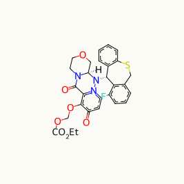 CCOC(=O)OCOc1c2n(ccc1=O)N([C@@H]1c3ccccc3SCc3cccc(F)c31)[C@@H]1COCCN1C2=O